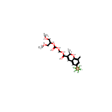 Cc1cc(S(F)(F)(F)(F)F)cc2c1O[C@H](C(F)(F)F)C(C(=O)OCOC(=O)OC(CO[N+](=O)[O-])CO[N+](=O)[O-])=C2